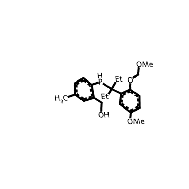 CCC(CC)(Pc1ccc(C)cc1CO)c1cc(OC)ccc1OCOC